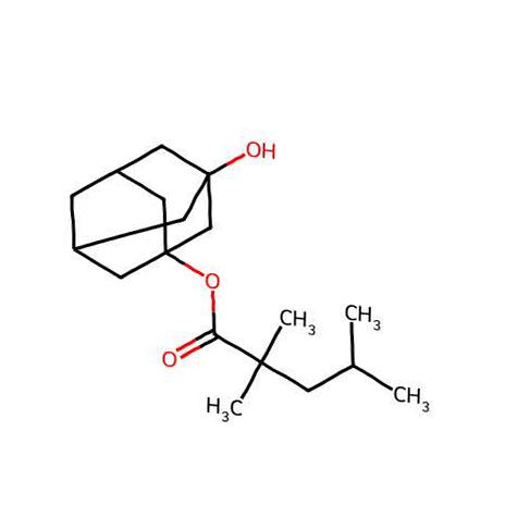 CC(C)CC(C)(C)C(=O)OC12CC3CC(CC(O)(C3)C1)C2